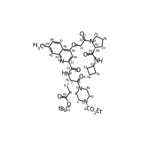 CCOC(=O)N1CCN(C(=O)[C@H](CCC(=O)OC(C)(C)C)NC(=O)c2cc(OCC(=O)N3CCC[C@H]3C(=O)NC3CCC3)c3ccc(C)cc3n2)CC1